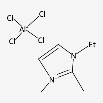 CCn1cc[n+](C)c1C.[Cl][Al-]([Cl])([Cl])[Cl]